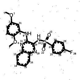 COc1ccc(OC)c(Nc2nc3ccccc3nc2NS(=O)(=O)c2ccc(F)cc2)c1